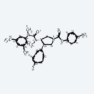 CN(C(=O)N(C)[C@@H]1CN(C(=O)Oc2ccc([N+](=O)[O-])cc2)C[C@H]1c1ccc(F)cc1)c1cc(C(F)(F)F)cc(C(F)(F)F)c1